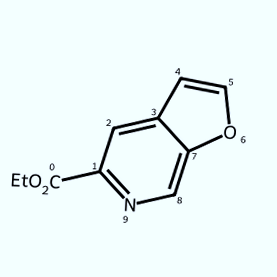 CCOC(=O)c1cc2ccoc2cn1